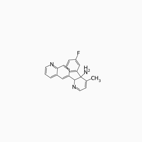 CC1=CC=NC(c2ccc3ncccc3c2)C1(N)c1cccc(F)c1